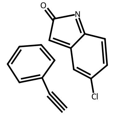 C#Cc1ccccc1.O=C1C=c2cc(Cl)ccc2=N1